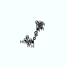 COC(=O)N[C@H](C(=O)N1[C@@H]2C[C@H]2C[C@H]1c1nc(-c2ccc3cc(-c4ccc(-c5c[nH]c([C@@H]6C[C@H]7C[C@H]7N6C(=O)[C@H](C6CCOCC6)N(C)C(=O)O)n5)cc4)ccc3c2)c[nH]1)C1CCOCC1